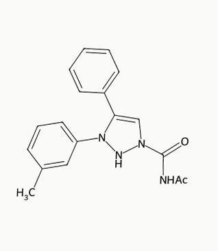 CC(=O)NC(=O)N1C=C(c2ccccc2)N(c2cccc(C)c2)N1